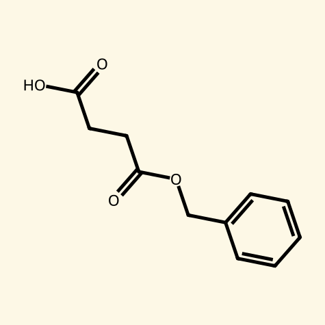 O=C(O)CCC(=O)OCc1ccccc1